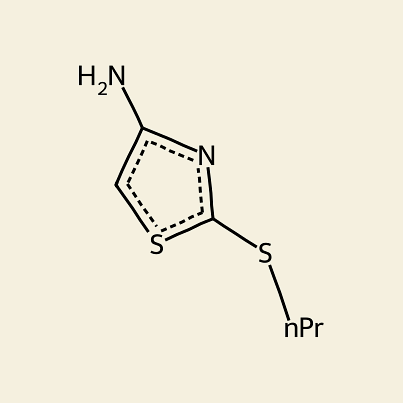 C[CH]CSc1nc(N)cs1